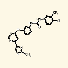 Cc1nc(-c2cc(Oc3cccc(NC(=O)Nc4ccc(Cl)c(C(F)(F)F)c4)c3)ncn2)cs1